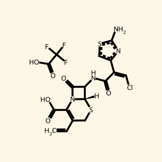 C=CC1=C(C(=O)O)N2C(=O)C(NC(=O)/C(=C\Cl)c3csc(N)n3)[C@@H]2SC1.O=C(O)C(F)(F)F